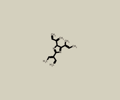 C=CC(=C)C1N=C(/C(C=C)=C/C)N=C1/C(C)=C/C